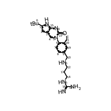 CC(C)(C)c1cc2cn(-c3ccc(CNCCCNC(=N)N)cc3F)c(=O)nc2[nH]1